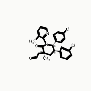 Cc1cccnc1N1C(=O)[C@](C)(CC=O)C[C@H](c2cccc(Cl)c2)[C@H]1c1ccc(Cl)cc1